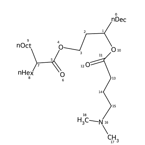 CCCCCCCCCCC(CCOC(=O)C(CCCCCC)CCCCCCCC)OC(=O)CCCN(C)C